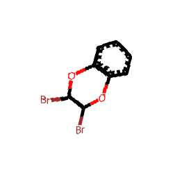 BrC1Oc2ccccc2OC1Br